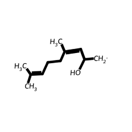 [CH2]C(O)C=C(C)CCC=C(C)C